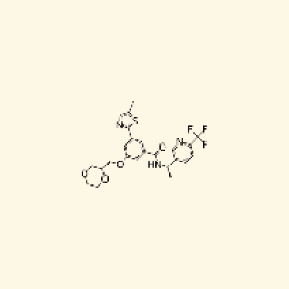 Cc1cnc(-c2cc(OC[C@@H]3COCCO3)cc(C(=O)N[C@H](C)c3ccc(C(F)(F)F)nc3)c2)s1